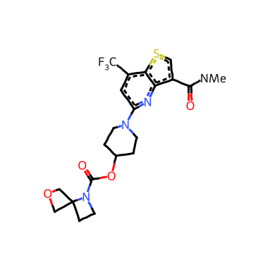 CNC(=O)c1csc2c(C(F)(F)F)cc(N3CCC(OC(=O)N4CCC45COC5)CC3)nc12